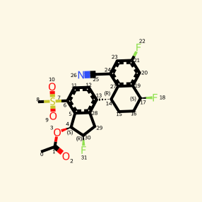 CC(=O)O[C@H]1c2c(S(C)(=O)=O)ccc([C@H]3CC[C@H](F)c4cc(F)cc(C#N)c43)c2C[C@H]1F